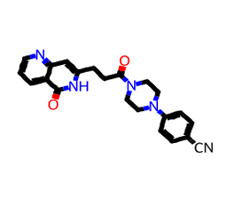 N#Cc1ccc(N2CCN(C(=O)CCc3cc4ncccc4c(=O)[nH]3)CC2)cc1